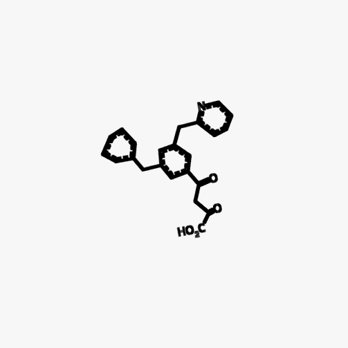 O=C(O)C(=O)CC(=O)c1cc(Cc2ccccc2)cc(Cc2ccccn2)c1